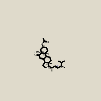 CC(=O)O[C@H]1CC[C@]2(C)C3CC[C@@]4(C)C(CC[C@@H]4[C@H](C)/C=C/[C@H](C)C(C)C)C3=CC(=O)[C@@]2(O)C1